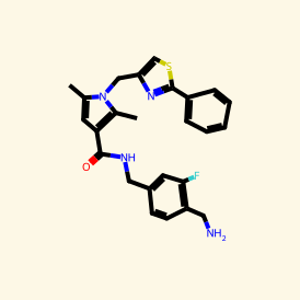 Cc1cc(C(=O)NCc2ccc(CN)c(F)c2)c(C)n1Cc1csc(-c2ccccc2)n1